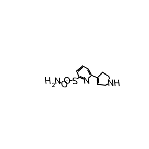 NOOSc1cccc(C2=CCNCC2)n1